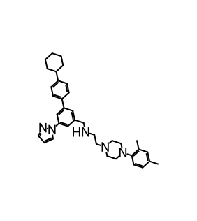 Cc1ccc(N2CCN(CCNCc3cc(-c4ccc(C5CCCCC5)cc4)cc(-n4cccn4)c3)CC2)c(C)c1